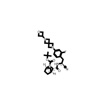 CC(C)(C)OC(=O)N1[C@@H]2CC[C@@H](C2)[C@H]1C(=O)N[C@H](C#N)Cc1ccc(N2CC3(C2)CN(C2COC2)C3)cc1F